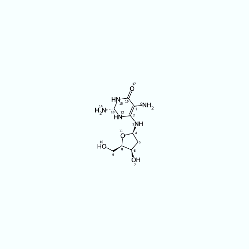 NC1=C(N[C@H]2C[C@@H](O)[C@@H](CO)O2)N[C@H](N)NC1=O